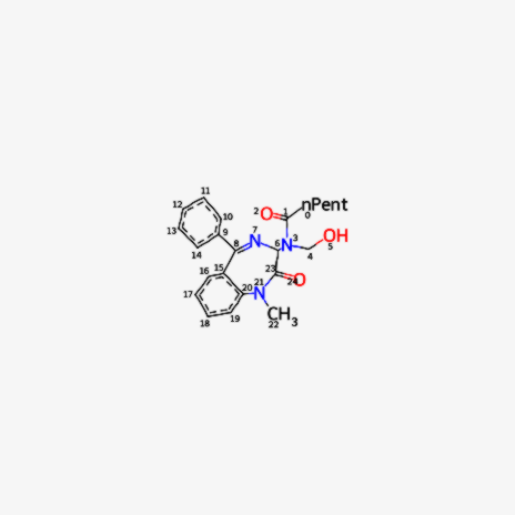 CCCCCC(=O)N(CO)C1N=C(c2ccccc2)c2ccccc2N(C)C1=O